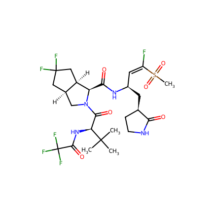 CC(C)(C)[C@@H](NC(=O)C(F)(F)F)C(=O)N1C[C@H]2CC(F)(F)C[C@H]2[C@H]1C(=O)N[C@@H](/C=C(/F)S(C)(=O)=O)C[C@@H]1CCNC1=O